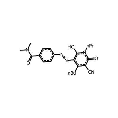 CCCCc1c(/N=N/c2ccc(C(=O)N(C)C)cc2)c(O)n(CCC)c(=O)c1C#N